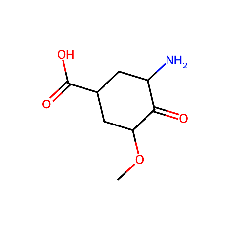 COC1CC(C(=O)O)CC(N)C1=O